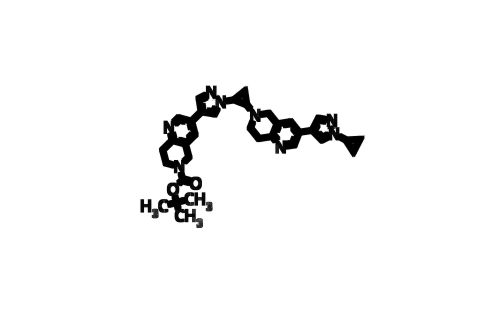 CC(C)(C)OC(=O)N1CCc2ncc(-c3cnn(C4CC4N4CCc5ncc(-c6cnn(C7CC7)c6)cc5C4)c3)cc2C1